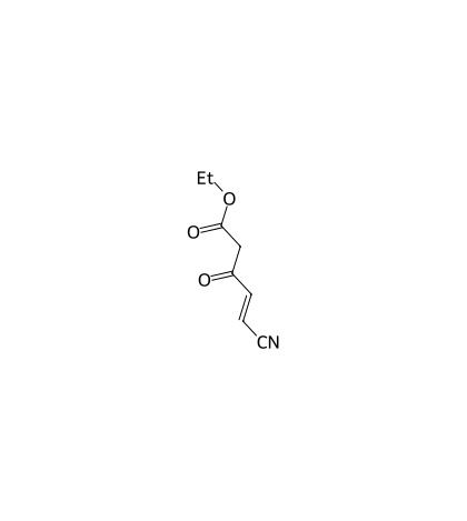 CCOC(=O)CC(=O)/C=C/C#N